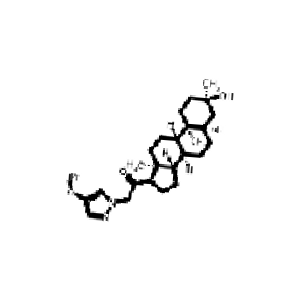 CC(C)Oc1cnn(CC(=O)C2CC[C@H]3[C@@H]4CC[C@@H]5C[C@](C)(O)CC[C@]5(C)[C@H]4CC[C@]23C)c1